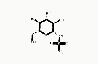 NS(=O)(=O)N[C@@H]1O[C@H](CO)[C@@H](O)[C@H](O)[C@H]1O